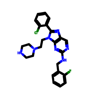 Fc1ccccc1CNc1ncc2nc(-c3ccccc3Cl)n(CCN3CCNCC3)c2n1